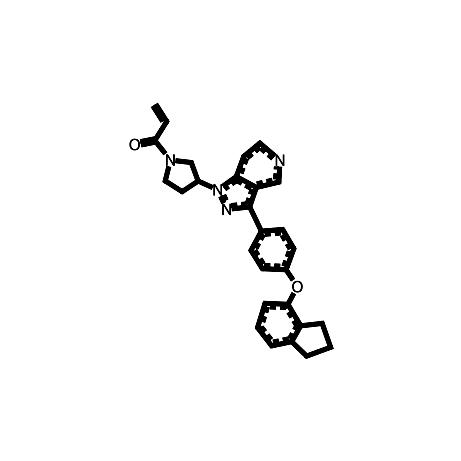 C=CC(=O)N1CCC(n2nc(-c3ccc(Oc4cccc5c4CCC5)cc3)c3cnccc32)C1